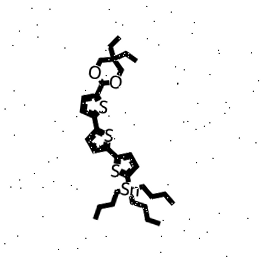 CCC[CH2][Sn]([CH2]CCC)([CH2]CCC)[c]1ccc(-c2ccc(-c3ccc(C4OCC(CC)(CC)CO4)s3)s2)s1